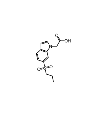 CCCS(=O)(=O)c1ccc2ccn(CC(=O)O)c2c1